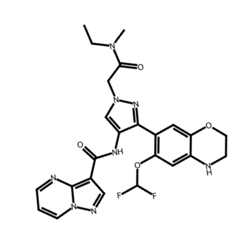 CCN(C)C(=O)Cn1cc(NC(=O)c2cnn3cccnc23)c(-c2cc3c(cc2OC(F)F)NCCO3)n1